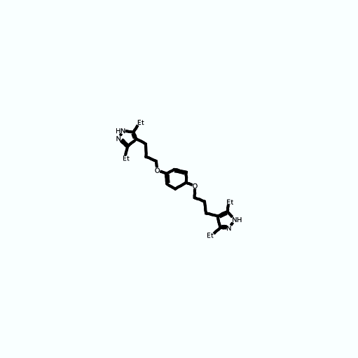 CCc1n[nH]c(CC)c1CCCO[C]1C=CC(OCCCc2c(CC)n[nH]c2CC)=CC1